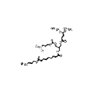 CCCCCCC=CCOC(=O)CCCCCCCC(=O)OCC(COC(=O)CCC(OCCCCCCC)OCCCCCCC)COC(=O)OCCCN(CC)CC